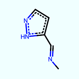 CN=Cc1ccn[nH]1